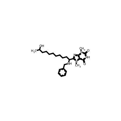 CC(O)CCCCCCCCC(NCc1ccccc1)c1nc2c(c(=O)[nH]c(=O)n2C)n1C